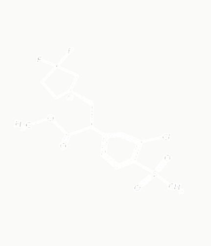 COC(=O)C(C[C@@H]1CCC(F)(F)C1)c1ccc(S(C)(=O)=O)c(Cl)c1